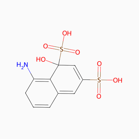 NC1=C2C(=CC(S(=O)(=O)O)=CC2(O)S(=O)(=O)O)C=CC1